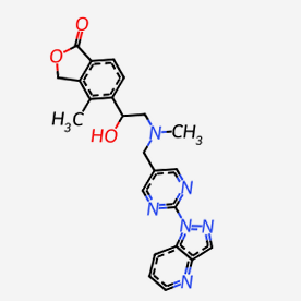 Cc1c(C(O)CN(C)Cc2cnc(-n3ncc4ncccc43)nc2)ccc2c1COC2=O